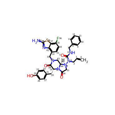 C=CCN(C(=O)NCc1ccccc1)N1CC(=O)N2[C@H](Cc3ccc(O)cc3)C(=O)N(Cc3ccc(F)c4sc(N)nc34)C[C@H]21